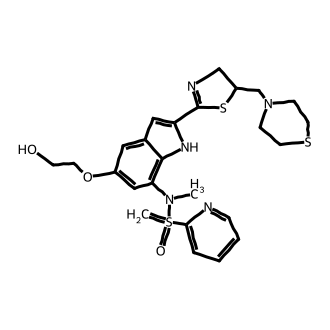 C=S(=O)(c1ccccn1)N(C)c1cc(OCCO)cc2cc(C3=NCC(CN4CCSCC4)S3)[nH]c12